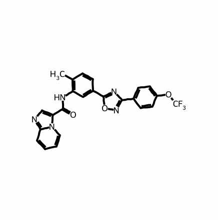 Cc1ccc(-c2nc(-c3ccc(OC(F)(F)F)cc3)no2)cc1NC(=O)c1cnc2ccccn12